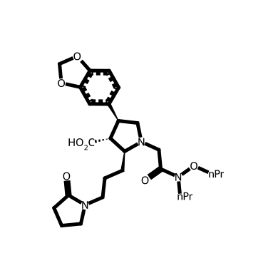 CCCON(CCC)C(=O)CN1C[C@H](c2ccc3c(c2)OCO3)[C@@H](C(=O)O)[C@@H]1CCCN1CCCC1=O